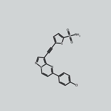 NS(=O)(=O)c1ccc(C#Cc2cnn3ccc(-c4ccc(Cl)cc4)nc23)s1